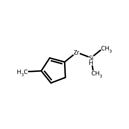 CC1=CC[C]([Zr][SiH](C)C)=C1